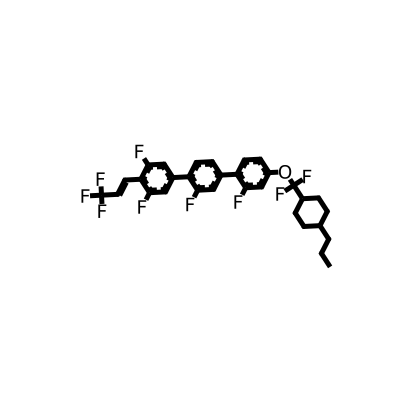 CCCC1CCC(C(F)(F)Oc2ccc(-c3ccc(-c4cc(F)c(/C=C/C(F)(F)F)c(F)c4)c(F)c3)c(F)c2)CC1